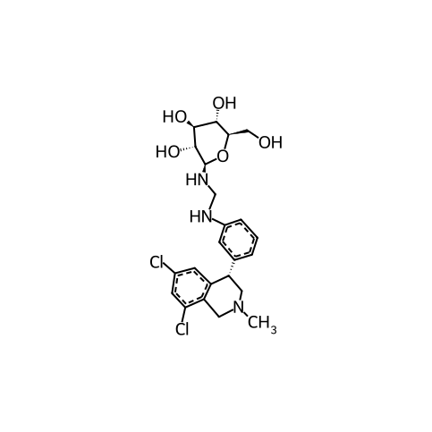 CN1Cc2c(Cl)cc(Cl)cc2[C@H](c2cccc(NCN[C@@H]3O[C@H](CO)[C@@H](O)[C@H](O)[C@H]3O)c2)C1